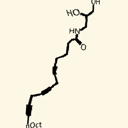 CCCCCCCCC#CCC#CCC#CCCCC(=O)NCC(O)CO